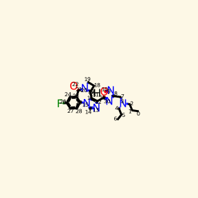 CCCN(CCC)Cc1noc(-c2ncn3c2[C@@H]2CCN2C(=O)c2cc(F)ccc2-3)n1